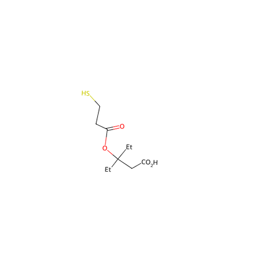 CCC(CC)(CC(=O)O)OC(=O)CCS